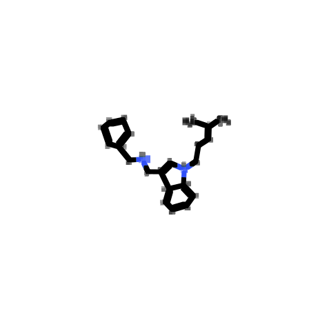 CC(C)=CCCn1cc(CNCc2ccccc2)c2ccccc21